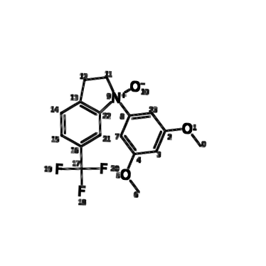 COc1cc(OC)cc([N+]2([O-])CCc3ccc(C(F)(F)F)cc32)c1